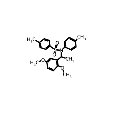 COc1ccc(OC)c(C(C)N(c2ccc(C)cc2)S(=O)(=O)c2ccc(C)cc2)c1